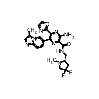 Cc1cnc2ccc(-c3nc(C(=O)NC[C@H]4CC(F)(F)CN4C)c(N)nc3-c3ncco3)cn12